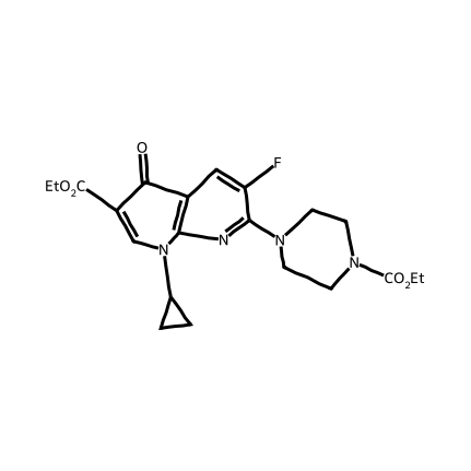 CCOC(=O)c1cn(C2CC2)c2nc(N3CCN(C(=O)OCC)CC3)c(F)cc2c1=O